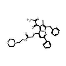 Cc1c(C(=O)C(N)=O)c2c(OCC(=O)OCCN3CCOCC3)cc(-c3ccccc3)nn2c1Cc1ccccc1